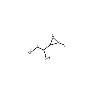 CC1OC1C(O)CCl